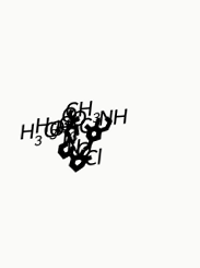 COC[C@H]1N(c2cccc(-c3cccc(Cl)c3OCc3cc(C)c4c(c3)CCNC4)n2)CC[C@@]1(C)C(=O)OC